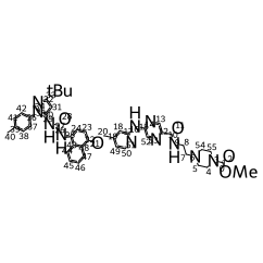 COC(=O)N1CCN(CCNC(=O)c2cnc(Nc3cc(COc4ccc(NC(=O)Nc5cc(C(C)(C)C)nn5-c5ccc(C)cc5)c5ccccc45)ccn3)cn2)CC1